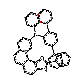 c1ccc(-c2ccc(-c3ccccc3)c(N(c3ccccc3)c3ccc4ccc5ccc6nc(-c7ccccc7)oc6c5c4c3)c2)cc1